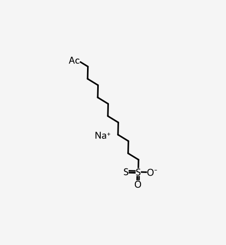 CC(=O)CCCCCCCCCCCS(=O)([O-])=S.[Na+]